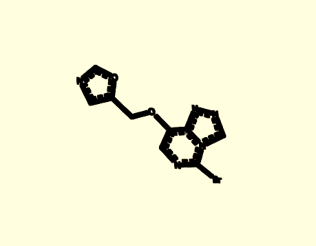 Brc1ncc(OCc2cnco2)c2nncn12